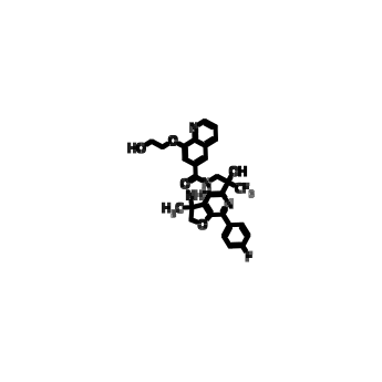 CC1(N)COc2c1cc(C(O)(CNC(=O)c1cc(OCCO)c3ncccc3c1)C(F)(F)F)nc2-c1ccc(F)cc1